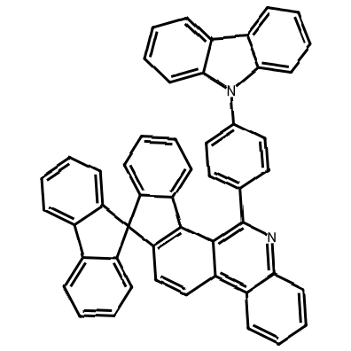 c1ccc2c(c1)-c1ccccc1C21c2ccccc2-c2c1ccc1c2c(-c2ccc(-n3c4ccccc4c4ccccc43)cc2)nc2ccccc21